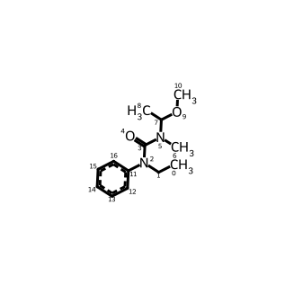 CCN(C(=O)N(C)C(C)OC)c1ccccc1